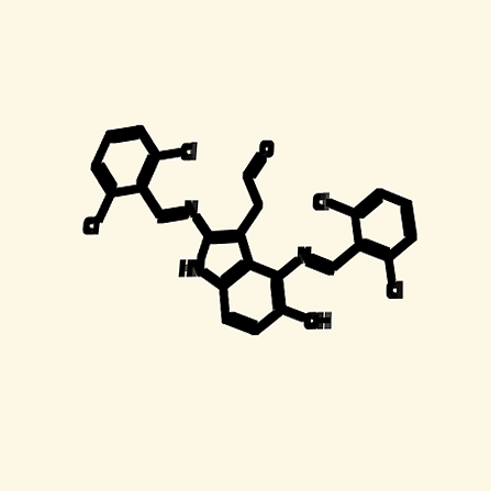 O=CCc1c(N=Cc2c(Cl)cccc2Cl)[nH]c2ccc(O)c(N=Cc3c(Cl)cccc3Cl)c12